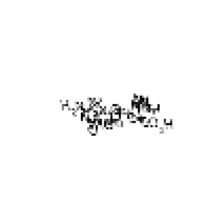 Nc1nc(Cl)nc2c1ncn2[C@@H]1O[C@H](CO[C@@H](C(=O)O)c2nnn[nH]2)C[C@H]1O